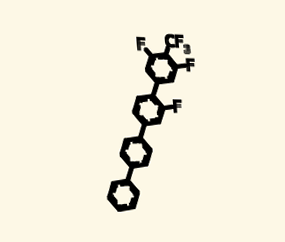 Fc1cc(-c2ccc(-c3ccccc3)cc2)ccc1-c1cc(F)c(C(F)(F)F)c(F)c1